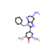 Cc1cc(-c2nc3cc(N)cnc3n2Cc2ccccc2)cn(C)c1=O